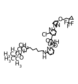 CC(C)(C)OC(=O)N1CC(CCCCCNc2cccc(S(=O)(=O)NC(=O)c3ccc(-n4ccc(OCCC5(C(F)(F)F)CC5)n4)nc3Cl)n2)CC1(C)C